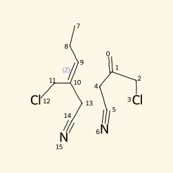 C=C(CCl)CC#N.CC/C=C(\CCl)CC#N